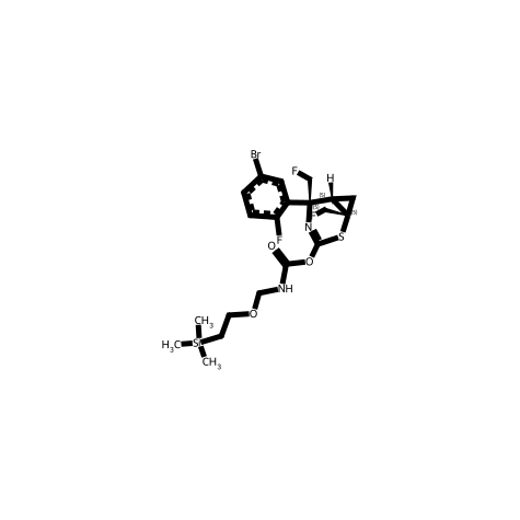 C[Si](C)(C)CCOCNC(=O)OC1=N[C@](CF)(c2cc(Br)ccc2F)[C@@H]2C[C@]2(CF)S1